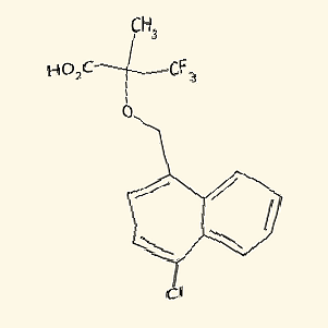 CC(OCc1ccc(Cl)c2ccccc12)(C(=O)O)C(F)(F)F